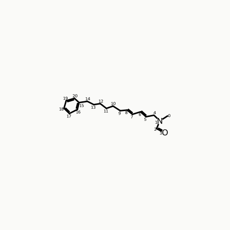 CN(C=O)C/C=C/C=C/CCCCCCc1ccccc1